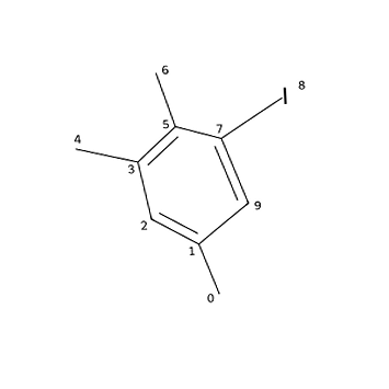 Cc1cc(C)c(C)c(I)c1